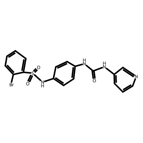 O=C(Nc1ccc(NS(=O)(=O)c2ccccc2Br)cc1)Nc1cccnc1